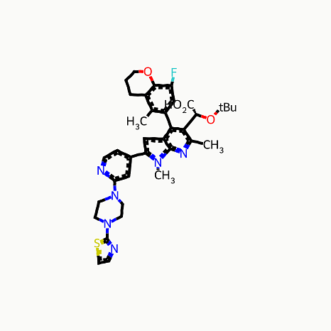 Cc1nc2c(cc(-c3ccnc(N4CCN(c5nccs5)CC4)c3)n2C)c(-c2cc(F)c3c(c2C)CCCO3)c1[C@H](OC(C)(C)C)C(=O)O